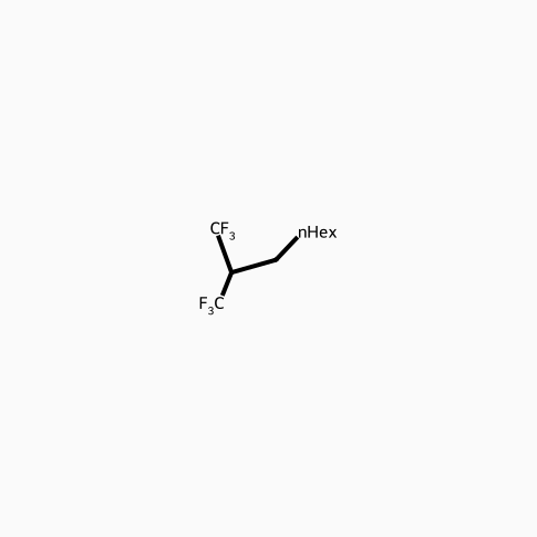 [CH2]CCCCCCC(C(F)(F)F)C(F)(F)F